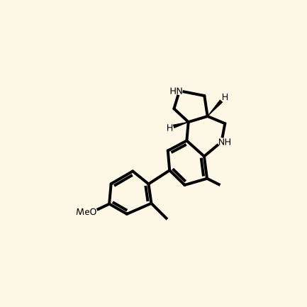 COc1ccc(-c2cc(C)c3c(c2)[C@@H]2CNC[C@@H]2CN3)c(C)c1